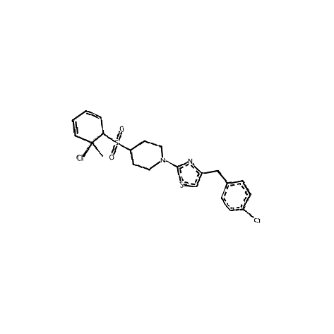 CC1(Cl)C=CC=CC1S(=O)(=O)C1CCN(c2nc(Cc3ccc(Cl)cc3)cs2)CC1